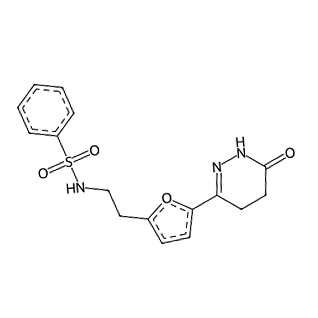 O=C1CCC(c2ccc(CCNS(=O)(=O)c3ccccc3)o2)=NN1